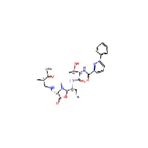 COC(=O)[C@H](C)CNC[C@H]1C(=O)OB([C@H](CC(C)C)NC(=O)[C@@H](NC(=O)c2cccc(-c3ccccc3)n2)[C@@H](C)O)N1C